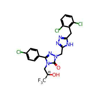 O=c1n(Cc2nnc(Cc3c(Cl)cccc3Cl)[nH]2)nc(-c2ccc(Cl)cc2)n1C[C@@H](O)C(F)(F)F